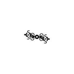 C=C1CSCC(OC(=O)c2ccc(C(=O)OC3CSCC(=C)CSC3)cc2)CSC1